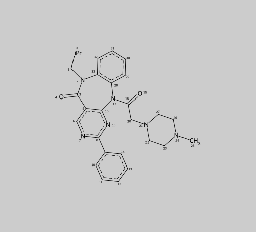 CC(C)CN1C(=O)c2cnc(-c3ccccc3)nc2N(C(=O)CN2CCN(C)CC2)c2ccccc21